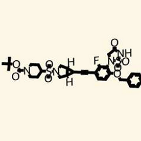 CC(C)(C)OC(=O)N1CCC(S(=O)(=O)N2C[C@@H]3C(C#Cc4ccc(OCc5ccccc5)c(N5CC(=O)NS5(=O)=O)c4F)[C@@H]3C2)CC1